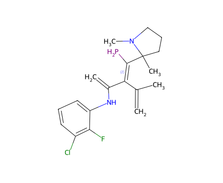 C=C(C)/C(C(=C)Nc1cccc(Cl)c1F)=C(/P)C1(C)CCCN1C